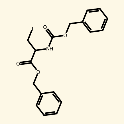 O=C(NC(CI)C(=O)OCc1ccccc1)OCc1ccccc1